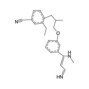 CCc1cc(C#N)ccc1CC(C)COc1cccc(/C(=C/C=N)NC)c1